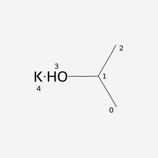 CC(C)O.[K]